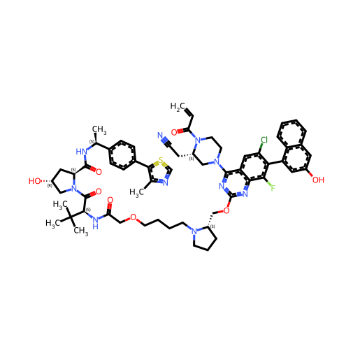 C=CC(=O)N1CCN(c2nc(OC[C@@H]3CCCN3CCCCOCC(=O)N[C@H](C(=O)N3C[C@H](O)C[C@H]3C(=O)N[C@@H](C)c3ccc(-c4scnc4C)cc3)C(C)(C)C)nc3c(F)c(-c4cc(O)cc5ccccc45)c(Cl)cc23)C[C@@H]1CC#N